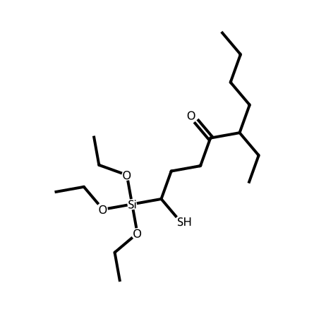 CCCCC(CC)C(=O)CCC(S)[Si](OCC)(OCC)OCC